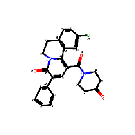 O=C1CCN(C(=O)c2cc(-c3ccccc3)c(=O)n3c2-c2cc(Cl)ccc2CC3)CC1